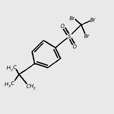 CC(C)(C)c1ccc(S(=O)(=O)C(Br)(Br)Br)cc1